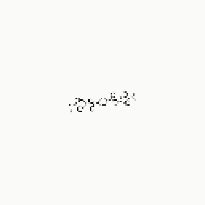 CC(C)C1OCC(OC(=O)c2ccc(C(=O)OC3COC(C(C)C)OC3)cc2)CO1